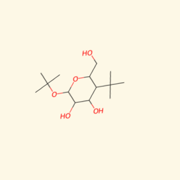 CC(C)(C)OC1OC(CO)C(C(C)(C)C)C(O)C1O